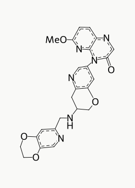 COc1ccc2ncc(=O)n(-c3cnc4c(c3)OCC(NCc3cc5c(cn3)OCCO5)C4)c2n1